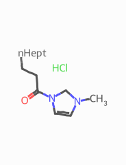 CCCCCCCCCC(=O)N1C=CN(C)C1.Cl